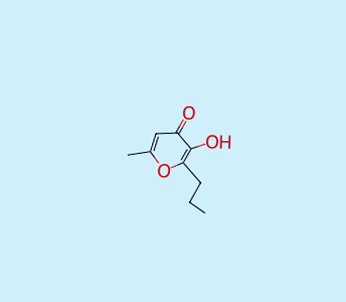 CCCc1oc(C)cc(=O)c1O